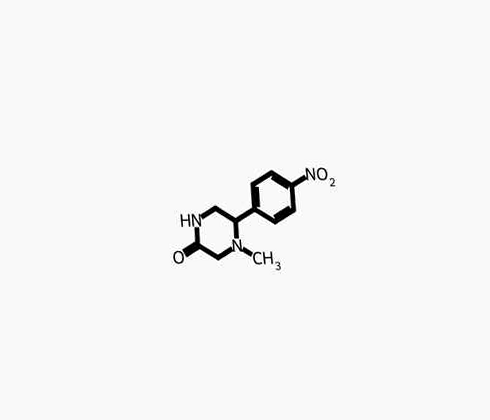 CN1CC(=O)NCC1c1ccc([N+](=O)[O-])cc1